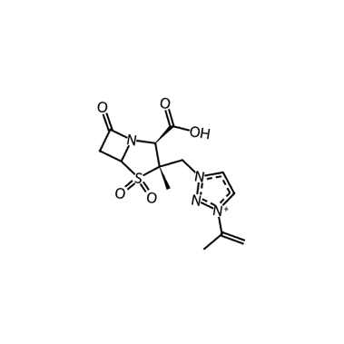 C=C(C)[n+]1ccn(C[C@@]2(C)[C@H](C(=O)O)N3C(=O)CC3S2(=O)=O)n1